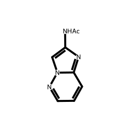 CC(=O)Nc1cn2ncccc2n1